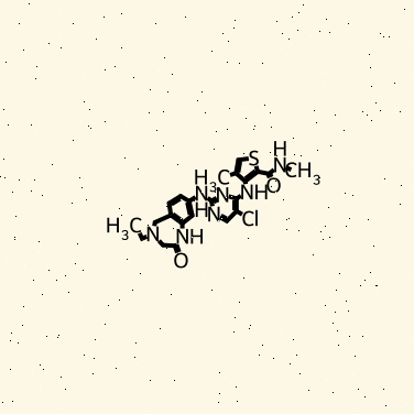 CCN1CC(=O)Nc2cc(Nc3ncc(Cl)c(Nc4c(C)csc4C(=O)NC)n3)ccc2C1